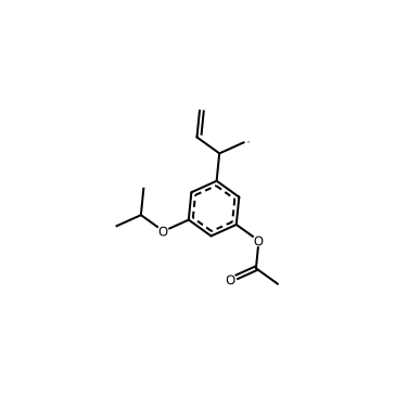 [CH2]C(C=C)c1cc(OC(C)=O)cc(OC(C)C)c1